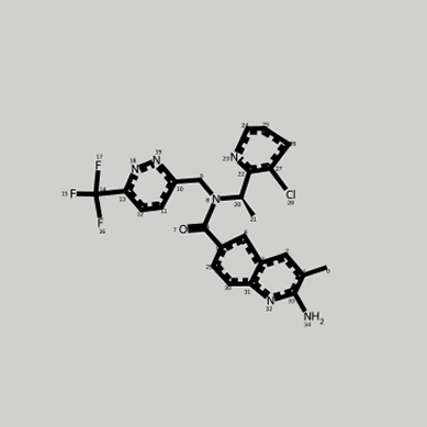 Cc1cc2cc(C(=O)N(Cc3ccc(C(F)(F)F)nn3)[C@H](C)c3ncccc3Cl)ccc2nc1N